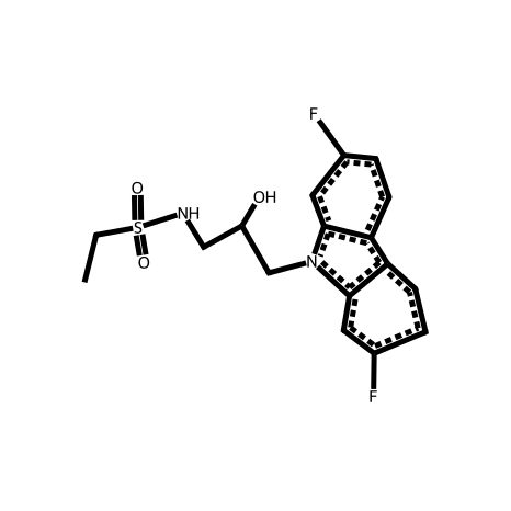 CCS(=O)(=O)NCC(O)Cn1c2cc(F)ccc2c2ccc(F)cc21